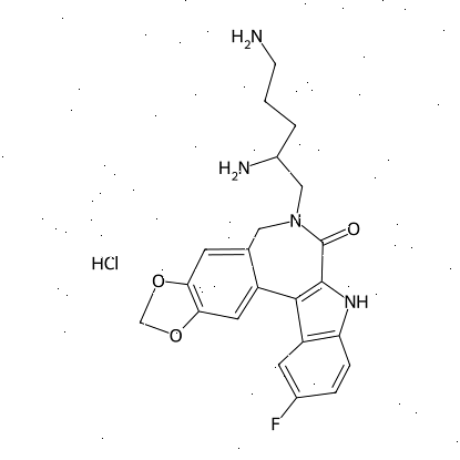 Cl.NCCCC(N)CN1Cc2cc3c(cc2-c2c([nH]c4ccc(F)cc24)C1=O)OCO3